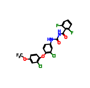 O=C(NC(=O)c1c(F)cccc1F)Nc1ccc(Oc2ccc(OC(F)(F)F)cc2Cl)c(Cl)c1